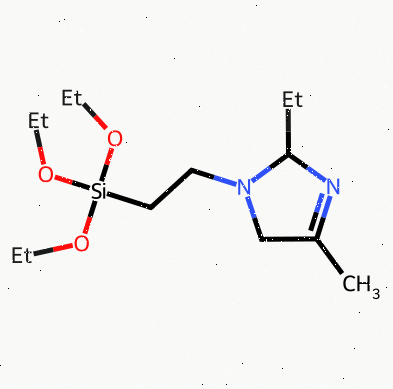 CCO[Si](CCN1CC(C)=NC1CC)(OCC)OCC